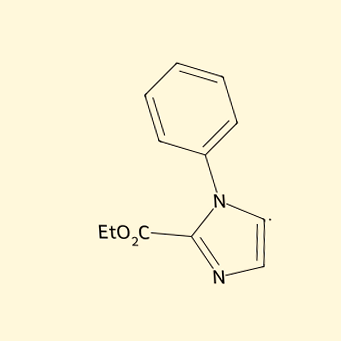 CCOC(=O)c1nc[c]n1-c1ccccc1